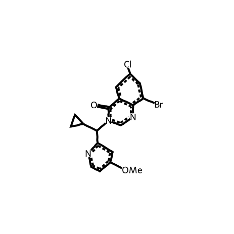 COc1ccnc(C(C2CC2)n2cnc3c(Br)cc(Cl)cc3c2=O)c1